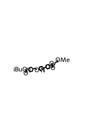 COCCCS(=O)(=O)c1ccc(-c2ccc(OCC3CCN(C(=O)OCC(C)C)CC3)cn2)cc1